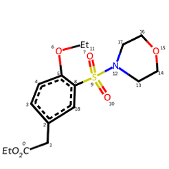 CCOC(=O)Cc1ccc(OCC)c(S(=O)(=O)N2CCOCC2)c1